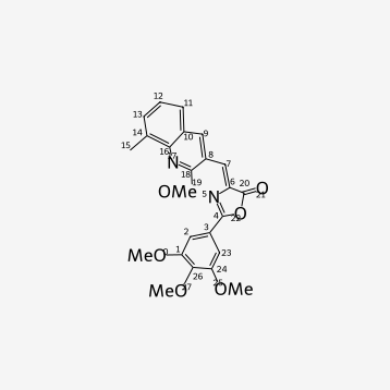 COc1cc(C2=N/C(=C\c3cc4cccc(C)c4nc3OC)C(=O)O2)cc(OC)c1OC